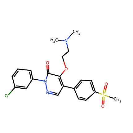 CN(C)CCOc1c(-c2ccc(S(C)(=O)=O)cc2)cnn(-c2cccc(Cl)c2)c1=O